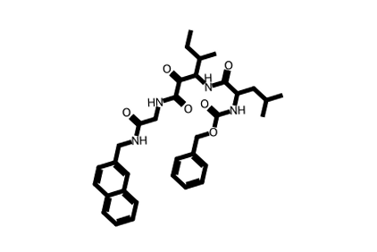 CCC(C)C(NC(=O)C(CC(C)C)NC(=O)OCc1ccccc1)C(=O)C(=O)NCC(=O)NCc1ccc2ccccc2c1